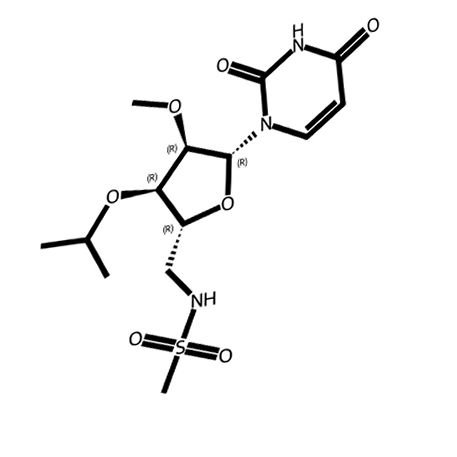 CO[C@@H]1[C@H](OC(C)C)[C@@H](CNS(C)(=O)=O)O[C@H]1n1ccc(=O)[nH]c1=O